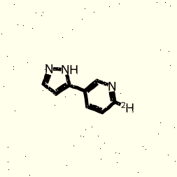 [2H]c1ccc(-c2ccn[nH]2)cn1